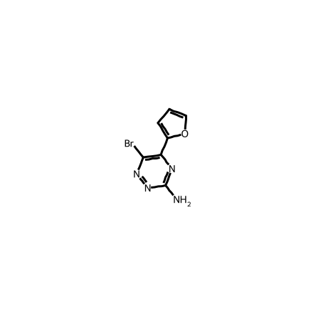 Nc1nnc(Br)c(-c2ccco2)n1